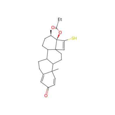 CCC(=O)O[C@@]12C(S)=CC13CCC1C(CCC4=CC(=O)C=CC41C)C3CC[C@H]2C